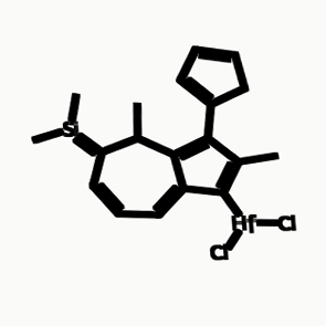 CC1=[C]([Hf]([Cl])[Cl])C2=CC=CC(=[Si](C)C)C(C)C2=C1C1=CC=CC1